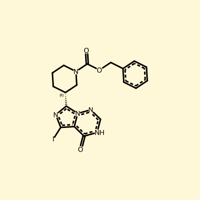 O=C(OCc1ccccc1)N1CCC[C@@H](c2nc(I)c3c(=O)[nH]cnn23)C1